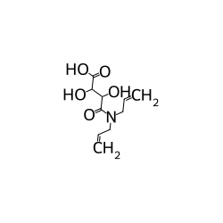 C=CCN(CC=C)C(=O)C(O)C(O)C(=O)O